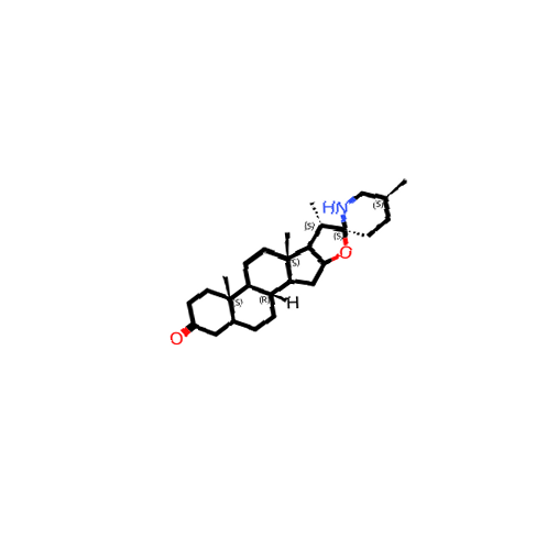 C[C@H]1CC[C@]2(NC1)OC1CC3[C@@H]4CCC5CC(=O)CC[C@]5(C)C4CC[C@]3(C)C1[C@@H]2C